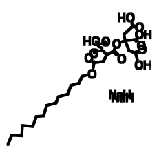 CCCCCCCCCCCCCCOC(=O)CC(C(=O)OC(CC(=O)O)(CC(=O)O)C(=O)O)S(=O)(=O)O.[NaH].[NaH]